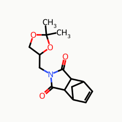 CC1(C)OCC(CN2C(=O)C3C4C=CC(C4)C3C2=O)O1